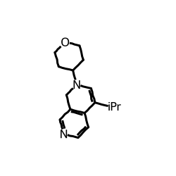 CC(C)C1=CN(C2CCOCC2)Cc2cnccc21